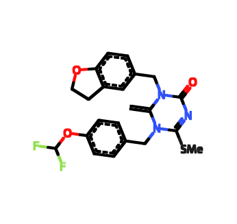 C=C1N(Cc2ccc3c(c2)CCO3)C(=O)N=C(SC)N1Cc1ccc(OC(F)F)cc1